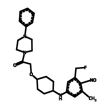 Cc1cc(NC2CCC(OCC(=O)N3CCN(c4ccccc4)CC3)CC2)cc(CF)c1N=O